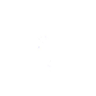 CCS(=O)(=O)NC[C@H]1CC[C@H](Nc2nc(C(C)(C)C(F)(F)F)no2)CC1